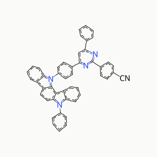 N#Cc1ccc(-c2nc(-c3ccccc3)cc(-c3ccc(-n4c5ccccc5c5ccc6c(c7ccccc7n6-c6ccccc6)c54)cc3)n2)cc1